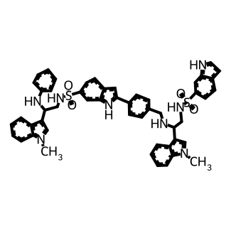 Cn1cc(C(CNS(=O)(=O)c2ccc3cc[nH]c3c2)NCc2ccc(-c3cc4ccc(S(=O)(=O)NCC(Nc5ccccc5)c5cn(C)c6ccccc56)cc4[nH]3)cc2)c2ccccc21